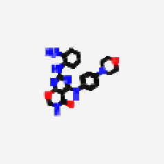 N[C@H]1CCCC[C@H]1Nc1nc(Nc2ccc(N3CCOCC3)cc2)c2c(n1)OCNC2=O